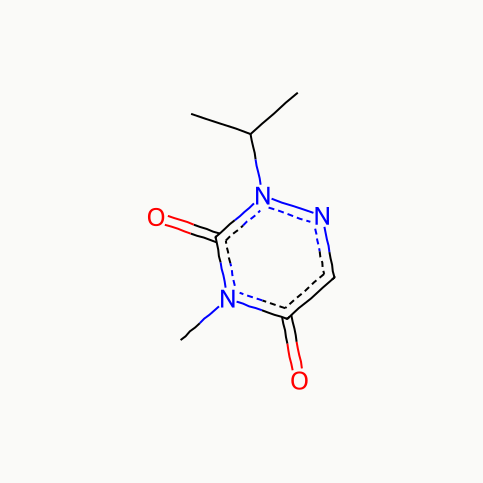 CC(C)n1ncc(=O)n(C)c1=O